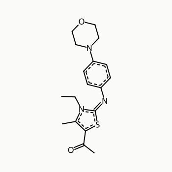 CCn1c(C)c(C(C)=O)sc1=Nc1ccc(N2CCOCC2)cc1